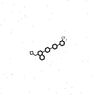 FC(F)(F)c1cccc(-c2ccc(-c3ccc(-c4ccc(CC5CCC5)c5ccccc45)cc3)cc2)c1